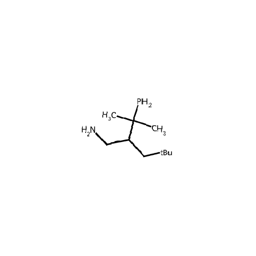 CC(C)(C)CC(CN)C(C)(C)P